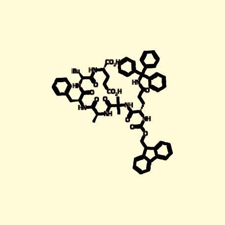 CC[C@H](C)[C@H](NC(=O)[C@H](Cc1ccccc1)NC(=O)[C@H](C)NC(=O)C(C)(C)NC(=O)[C@H](CCC(=O)NC(c1ccccc1)(c1ccccc1)c1ccccc1)NC(=O)OCC1c2ccccc2-c2ccccc21)C(=O)N[C@@H](CCC(=O)O)C(=O)O